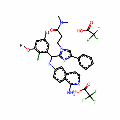 CCOc1cc(CC)cc(C(Nc2ccc3c(N)nccc3c2)c2nc(-c3ccccc3)cn2CCC(=O)N(C)C)c1F.O=C(O)C(F)(F)F.O=C(O)C(F)(F)F